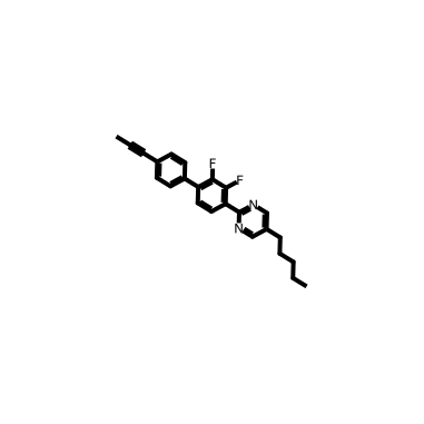 CC#Cc1ccc(-c2ccc(-c3ncc(CCCCC)cn3)c(F)c2F)cc1